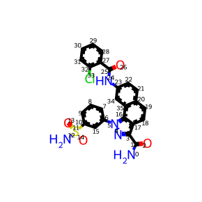 NC(=O)c1nn(-c2cccc(S(N)(=O)=O)c2)c2c1ccc1ccc(NC(=O)c3ccccc3Cl)cc12